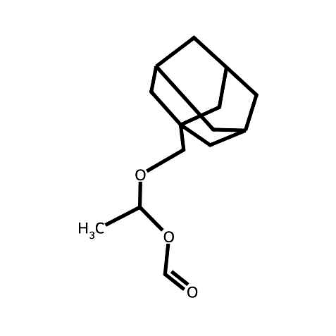 CC(OC=O)OCC12CC3CC(CC(C3)C1)C2